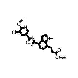 COC(=O)CCc1ccc(-c2noc(-c3cnc(OC(C)C)c(Cl)c3)n2)c2ccn(C)c12